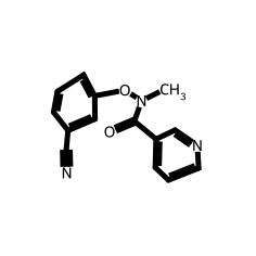 CN(Oc1cccc(C#N)c1)C(=O)c1cccnc1